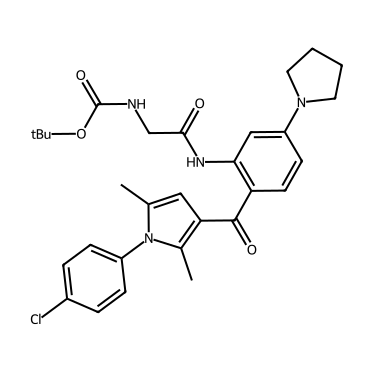 Cc1cc(C(=O)c2ccc(N3CCCC3)cc2NC(=O)CNC(=O)OC(C)(C)C)c(C)n1-c1ccc(Cl)cc1